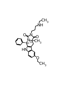 CCNCCCN1C(=O)N2[C@H](c3ccccc3)c3[nH]c4ccc(OCC)cc4c3C[C@@]2(C)C1=O